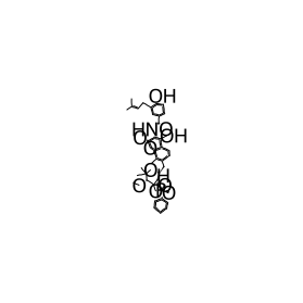 CO[C@@H]1C2OP(=O)(c3ccccc3)O[C@H]2[C@H](Cc2ccc3c(O)c(NC(=O)c4ccc(O)c(CC=C(C)C)c4)c(=O)oc3c2C)OC1(C)C